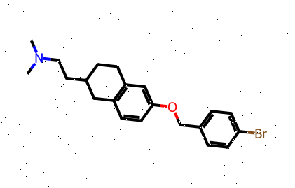 CN(C)CCC1CCc2cc(OCc3ccc(Br)cc3)ccc2C1